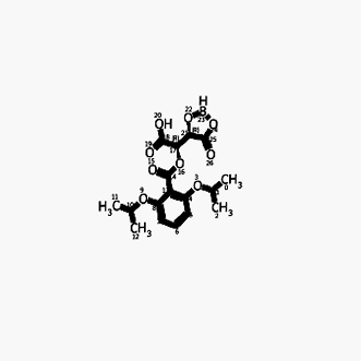 CC(C)Oc1cccc(OC(C)C)c1C(=O)O[C@@H](C(=O)O)[C@H]1OBOC1=O